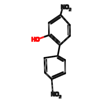 O=[N+]([O-])c1ccc(-c2ccc([N+](=O)[O-])cc2O)cc1